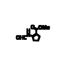 COC(=O)C1=C(NC=O)CCC1